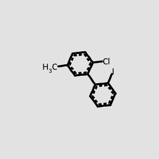 Cc1ccc(Cl)c(-c2ccccc2I)c1